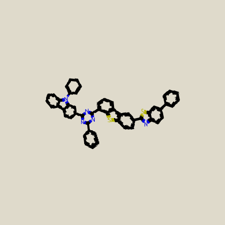 C1=CC(n2c3ccccc3c3ccc(-c4nc(-c5ccccc5)nc(-c5cccc6c5sc5ccc(-c7nc8ccc(-c9ccccc9)cc8s7)cc56)n4)cc32)=CCC1